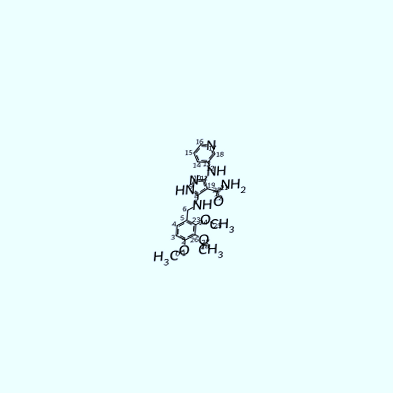 COc1ccc(CNc2[nH]nc(Nc3cccnc3)c2C(N)=O)c(OC)c1OC